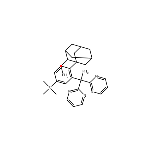 C[Si](C)(C)c1ccc(C23CC4CC(CC(C4)C2CP)C3)c(C(P)(c2ncccn2)c2ncccn2)c1